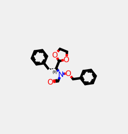 O=CN(OCc1ccccc1)[C@H](Cc1ccccc1)C1OCCO1